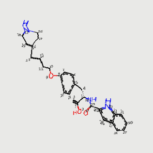 C=C(O)[C@H](Cc1ccc(OCCCCC2CCNCC2)cc1)NC(=O)c1cc2ccccc2[nH]1